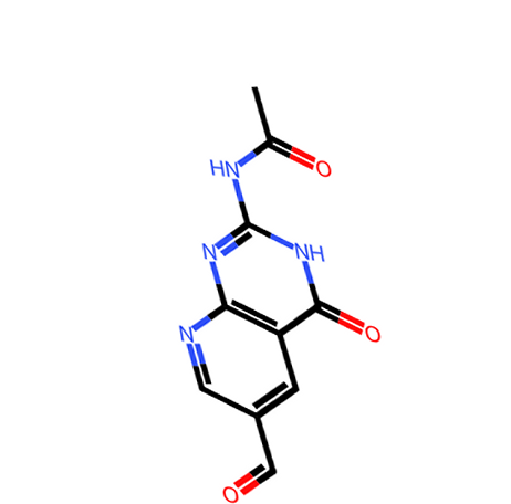 CC(=O)Nc1nc2ncc(C=O)cc2c(=O)[nH]1